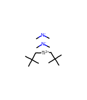 CC(C)(C)[CH2][Ti+2][CH2]C(C)(C)C.C[N-]C.C[N-]C